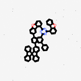 c1ccc(-c2cccc(-c3nc(-c4cccc5oc6ccccc6c45)nc(-c4cccc5oc6ccc(-c7ccc(-c8ccc9c(c8)C8(c%10ccccc%10-c%10ccccc%108)c8ccccc8-9)cc7)cc6c45)n3)c2)cc1